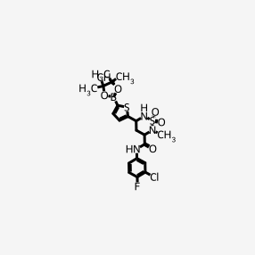 CN1C(C(=O)Nc2ccc(F)c(Cl)c2)CC(c2ccc(B3OC(C)(C)C(C)(C)O3)s2)NS1(=O)=O